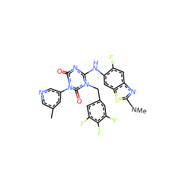 CNc1nc2cc(F)c(Nc3nc(=O)n(-c4cncc(C)c4)c(=O)n3Cc3cc(F)c(F)c(F)c3)cc2s1